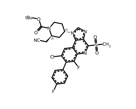 CC(C)(C)OC(=O)N1CC[C@H](n2cnc3c(S(C)(=O)=O)nc4c(F)c(-c5ccc(F)cc5)c(Cl)cc4c32)C[C@H]1CC#N